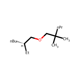 CCCC[C@@H](CC)COCC(C)(C)CCC